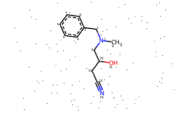 CN(Cc1ccccc1)CC(O)CC#N